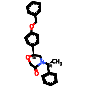 C[C@H](c1ccccc1)N1C[C@H](c2ccc(OCc3ccccc3)cc2)OCC1=O